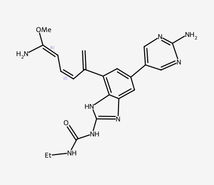 C=C(/C=C\C=C(/N)OC)c1cc(-c2cnc(N)nc2)cc2nc(NC(=O)NCC)[nH]c12